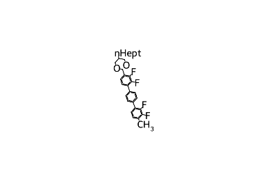 CCCCCCCC1COC(c2ccc(-c3ccc(-c4ccc(C)c(F)c4F)cc3)c(F)c2F)OC1